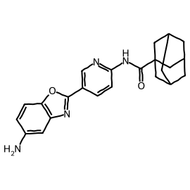 Nc1ccc2oc(-c3ccc(NC(=O)C45CC6CC(CC(C6)C4)C5)nc3)nc2c1